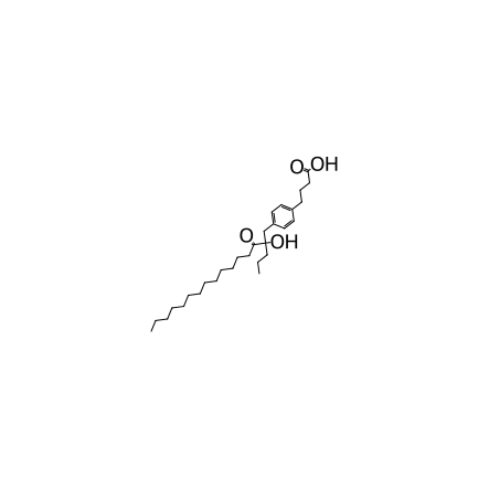 CCCCCCCCCCCCCC(=O)C(O)(CCC)Cc1ccc(CCCC(=O)O)cc1